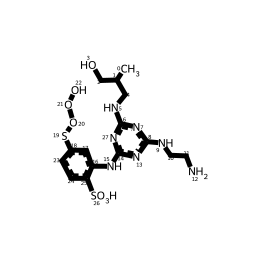 CC(CO)CNc1nc(NCCN)nc(Nc2cc(SOOO)ccc2S(=O)(=O)O)n1